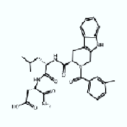 Cc1cccc(C(=O)N2Cc3[nH]c4ccccc4c3C[C@@H]2C(=O)N[C@@H](CC(C)C)C(=O)N[C@@H](CC(=O)O)C(N)=O)c1